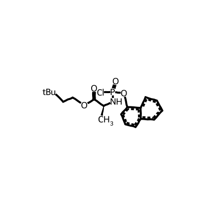 C[C@H](NP(=O)(Cl)Oc1cccc2ccccc12)C(=O)OCCC(C)(C)C